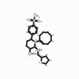 COC1CCC(c2ccc(S(C)(=O)=O)cc2)N(/C2=C/CCCCCC2)C1NCC1CCCS1